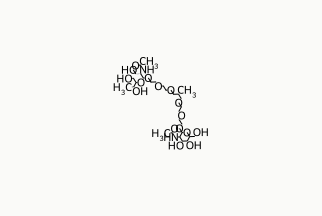 CC(=O)NC1C(OCCOCCOCC(C)COCCOCCOC(OC(CO)[C@@H](C)O)[C@H](CO)NC(C)=O)OC(CO)C(O)C1O